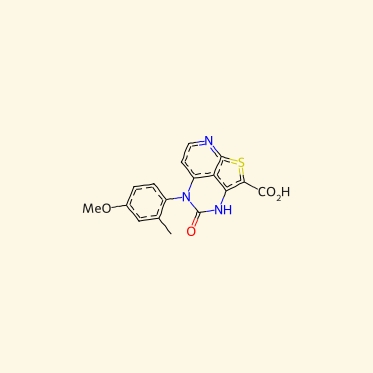 COc1ccc(N2C(=O)Nc3c(C(=O)O)sc4nccc2c34)c(C)c1